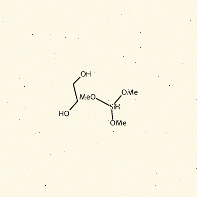 CO[SiH](OC)OC.OCCO